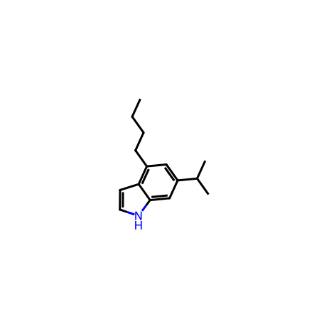 CCCCc1cc(C(C)C)cc2[nH]ccc12